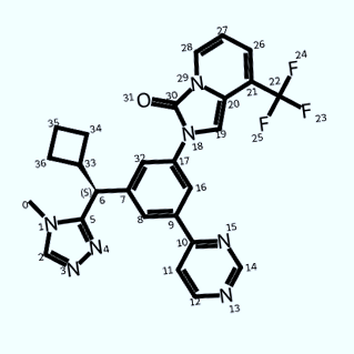 Cn1cnnc1[C@H](c1cc(-c2ccncn2)cc(-n2cc3c(C(F)(F)F)cccn3c2=O)c1)C1CCC1